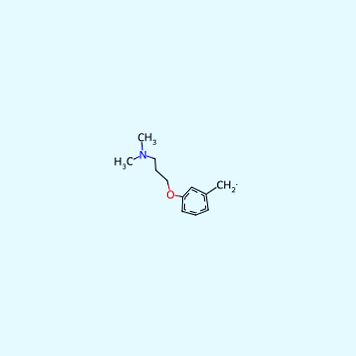 [CH2]c1cccc(OCCCN(C)C)c1